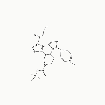 CCOC(=O)c1csc(C2CN(C(=O)OC(C)(C)C)CCC2n2ccnc2-c2ccc(F)cc2)n1